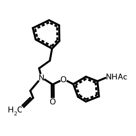 C=CCN(CCc1ccccc1)C(=O)Oc1cccc(NC(C)=O)c1